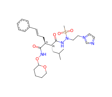 CC(C)C[C@@H](C(=O)NN(CCn1ccnc1)S(C)(=O)=O)[C@H](CC=Cc1ccccc1)C(=O)NOC1CCCCO1